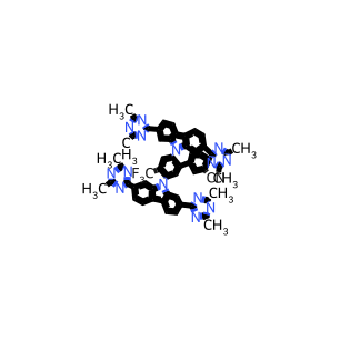 Cc1nc(C)nc(-c2ccc3c4ccc(-c5nc(C)nc(C)n5)cc4n(-c4cc(C(F)(F)F)c(-n5c6cc(-c7nc(C)nc(C)n7)ccc6c6ccc(-c7nc(C)nc(C)n7)cc65)cc4-c4cccc(C#N)c4)c3c2)n1